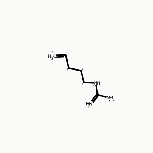 C=CCCCNC(=N)N